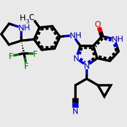 Cc1cc(Nc2nn(C(CC#N)C3CC3)c3cc[nH]c(=O)c23)ccc1[C@@]1(C(F)(F)F)CCCN1